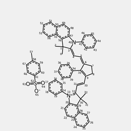 CC1(C)C(=CC=C2CCC(C=CC3=[N+](c4ccccc4)c4ccc5ccccc5c4C3(C)C)=C2c2ccccc2)N(c2ccccc2)c2ccc3ccccc3c21.Cc1ccc(S(=O)(=O)[O-])cc1